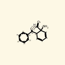 NC1(C(=O)O)C=CC=CC1C(=O)c1ccccc1